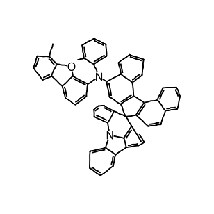 Cc1ccccc1N(c1cc2c(c3ccccc13)-c1c(ccc3ccccc13)C21c2ccccc2-n2c3ccccc3c3cccc1c32)c1cccc2c1oc1c(C)cccc12